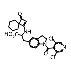 O=C(O)C(Cc1ccc2c(c1)CCN2C(=O)c1c(Cl)cncc1Cl)NC1=CC(=O)C12CCCCC2